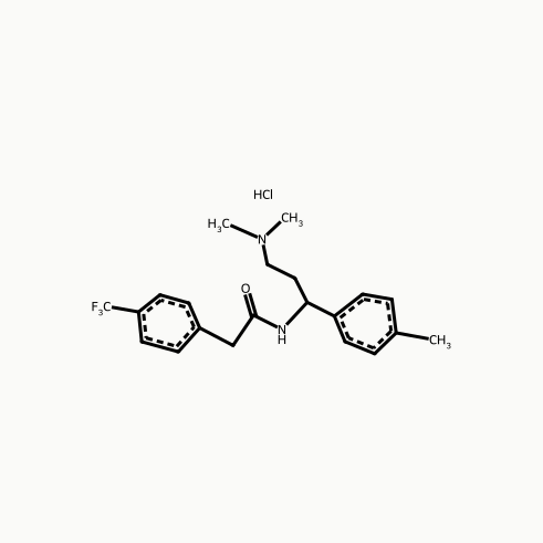 Cc1ccc(C(CCN(C)C)NC(=O)Cc2ccc(C(F)(F)F)cc2)cc1.Cl